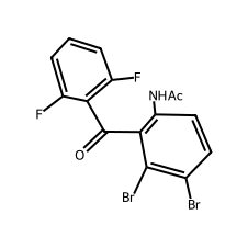 CC(=O)Nc1ccc(Br)c(Br)c1C(=O)c1c(F)cccc1F